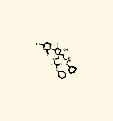 C[C@H](NC[C@]1(COP(=O)(S)Oc2ccccc2)O[C@@H](n2ccc(N)nc2=O)[C@H](F)[C@@H]1O)C(=O)OC1CCCCC1